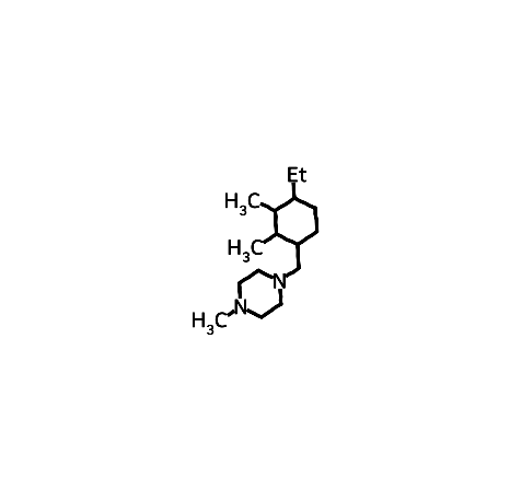 CCC1CCC(CN2CCN(C)CC2)C(C)C1C